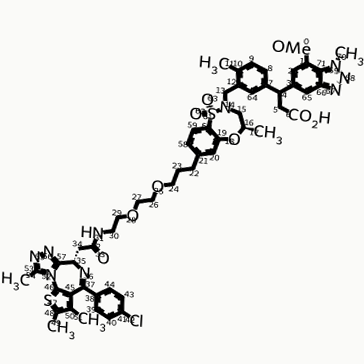 COc1cc(C(CC(=O)O)c2ccc(C)c(CN3C[C@@H](C)Oc4cc(CCCOCCOCCNC(=O)C[C@@H]5N=C(c6ccc(Cl)cc6)c6c(sc(C)c6C)-n6c(C)nnc65)ccc4S3(=O)=O)c2)cc2nnn(C)c12